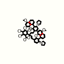 COc1ccc(Oc2c(C=CC3(C=Cc4ccc(N5CCCC5)c(-c5ccccc5)c4Oc4ccc(OC)cc4)OC(=O)c4c(Cl)c(Cl)c(Cl)c(Cl)c43)ccc(N3CCCC3)c2-c2ccccc2)cc1